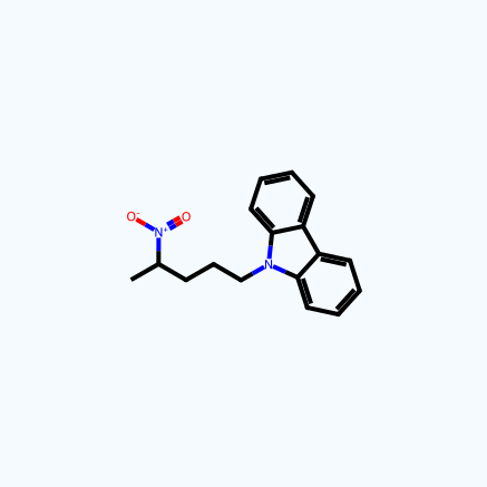 CC(CCCn1c2ccccc2c2ccccc21)[N+](=O)[O-]